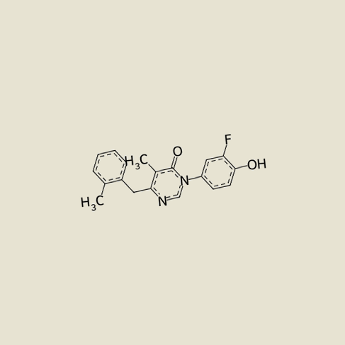 Cc1ccccc1Cc1ncn(-c2ccc(O)c(F)c2)c(=O)c1C